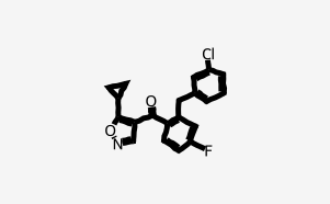 O=C(c1ccc(F)cc1Cc1cccc(Cl)c1)c1cnoc1C1CC1